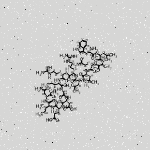 CC[C@H](C)[C@H](NC(=O)[C@H](CCCNC(=N)N)NC(=O)[C@H](CCCNC(=N)N)NC(=O)[C@H](CC(C)C)NC(=O)[C@H](CC(C)C)NC(=O)[C@H](CCC(N)=O)NC(=O)[C@H](C)NC(=O)[C@H](CC(C)C)NC(=O)[C@@H](N)Cc1c[nH]c2ccccc12)C(=O)NCC(=O)N[C@@H](CC(=O)O)C(=O)N[C@@H](CCC(=O)O)C(=O)N[C@H](C(=O)N[C@@H](CC(N)=O)C(=O)O)[C@@H](C)CC